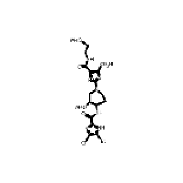 CCc1[nH]c(C(=O)NC2CCN(c3nc(C(=O)NCCOC)c(C(=O)O)s3)CC2OC)nc1Cl